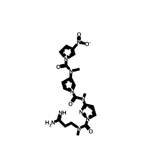 CN(CCC(=N)N)C(=O)n1ccc(N(C)C(=O)n2ccc(N(C)C(=O)n3ccc([N+](=O)[O-])c3)c2)n1